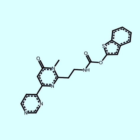 Cn1c(CCNC(=O)Oc2cc3ccccc3s2)nc(-c2ccncn2)cc1=O